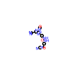 CN(C)C1CCN(C(=O)c2ccc(NC(=O)Nc3ccc(-c4nc(N5CCOCC5)c5ncc(-c6cnn(C)c6)cc5n4)cc3)cc2)CC1